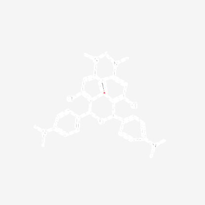 CN(C)c1ccc(C(OC(c2ccc(N(C)C)cc2)c2ccc(N(C)C)cc2Cl)c2ccc(N(C)C)cc2Cl)cc1